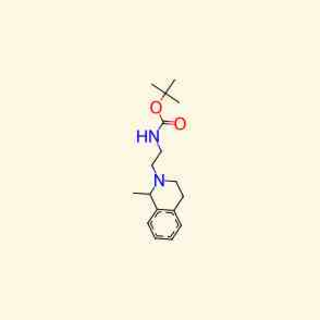 CC1c2ccccc2CCN1CCNC(=O)OC(C)(C)C